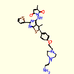 CC1=CC(=O)N(Nc2nc(-c3cccs3)nc3sc(-c4ccc(OCCN5CCN(CCN)CC5)cc4)c(C)c23)C1=O